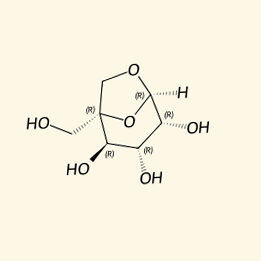 OC[C@]12CO[C@H](O1)[C@H](O)[C@H](O)[C@H]2O